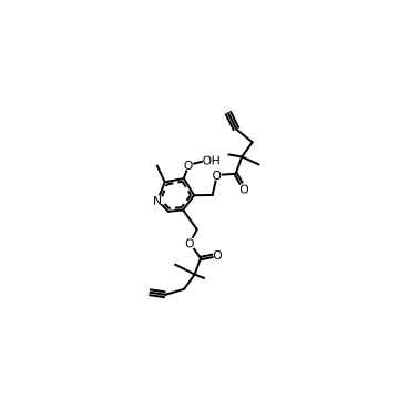 C#CCC(C)(C)C(=O)OCc1cnc(C)c(OO)c1COC(=O)C(C)(C)CC#C